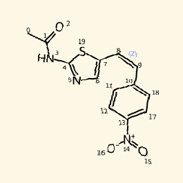 CC(=O)Nc1ncc(/C=C\c2ccc([N+](=O)[O-])cc2)s1